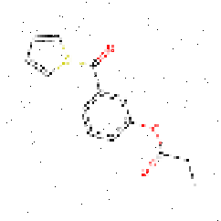 CCC(=O)Oc1cccc(C(=O)[SH]2C=CC=C2)c1